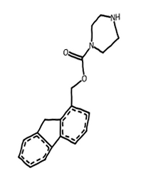 O=C(OCc1cccc2c1Cc1ccccc1-2)N1CCNCC1